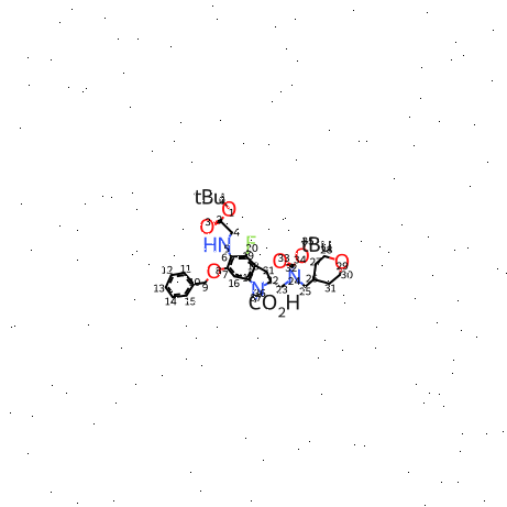 CC(C)(C)OC(=O)CNc1c(OCc2ccccc2)cc2c(c1F)C[C@H](CN(CC1CCOCC1)C(=O)OC(C)(C)C)N2C(=O)O